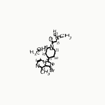 CO.Cc1nccn2c(C3CCN(C(=O)CN(C)C)CC3)nc(Br)c12